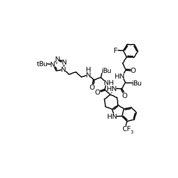 CCC(C)C(NC(=O)Cc1ccccc1F)C(=O)N[C@@]1(C(=O)NC(C(=O)NCCCn2c[n+](C(C)(C)C)nn2)C(C)CC)CCc2[nH]c3c(C(F)(F)F)cccc3c2C1